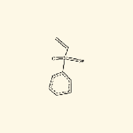 C=CS(=O)(=[Se])c1ccccc1